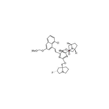 COCOc1cc(/C=C/c2nc(OC[C@@]34CCCN3C[C@H](F)C4)nc(N3C[C@H]4CC[C@@H](C3)N4C(=O)OC(C)(C)C)n2)c2c(Cl)cccc2c1